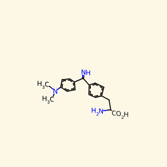 CN(C)c1ccc(C(=N)c2ccc(CC(N)C(=O)O)cc2)cc1